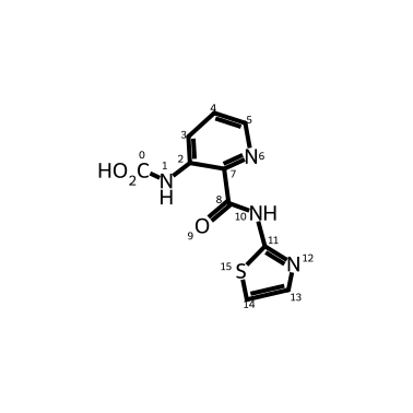 O=C(O)Nc1cccnc1C(=O)Nc1nccs1